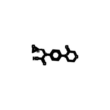 O=C(O)N(C[C@@H]1CO1)c1ccc(N2CCOCC2=O)cc1